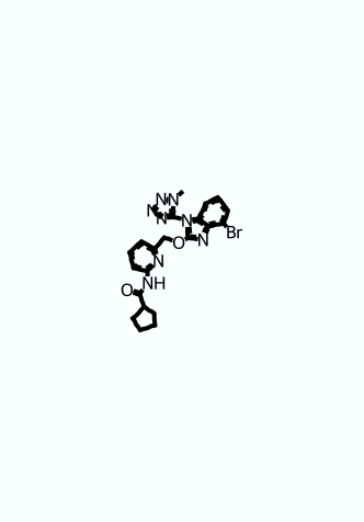 Cn1nnnc1-n1c(OCc2cccc(NC(=O)C3CCCC3)n2)nc2c(Br)cccc21